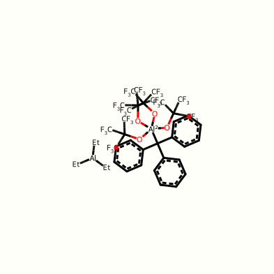 C[CH2][Al]([CH2]C)[CH2]C.FC(F)(F)C([O][Al-2]([O]C(C(F)(F)F)(C(F)(F)F)C(F)(F)F)([O]C(C(F)(F)F)(C(F)(F)F)C(F)(F)F)([O]C(C(F)(F)F)(C(F)(F)F)C(F)(F)F)[C](c1ccccc1)(c1ccccc1)c1ccccc1)(C(F)(F)F)C(F)(F)F